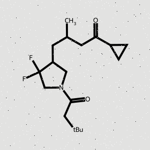 CC(CC(=O)C1CC1)CC1CN(C(=O)CC(C)(C)C)CC1(F)F